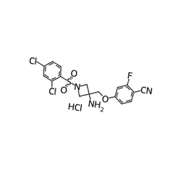 Cl.N#Cc1ccc(OCC2(N)CN(S(=O)(=O)c3ccc(Cl)cc3Cl)C2)cc1F